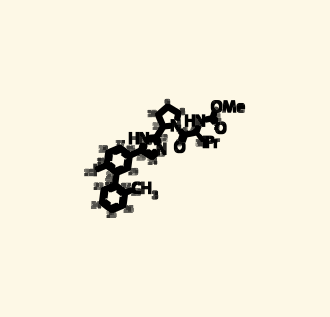 COC(=O)N[C@H](C(=O)N1CCCC1c1ncc(-c2ccc(I)c(-c3ccccc3C)c2)[nH]1)C(C)C